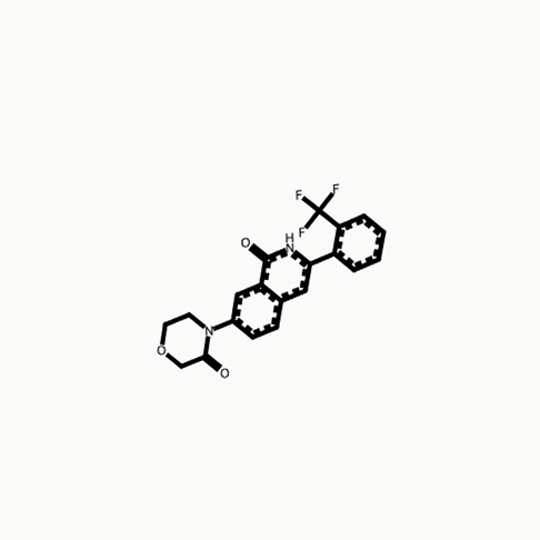 O=C1COCCN1c1ccc2cc(-c3ccccc3C(F)(F)F)[nH]c(=O)c2c1